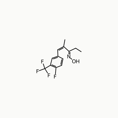 CCC(=NO)C(C)=Cc1ccc(F)c(C(F)(F)F)c1